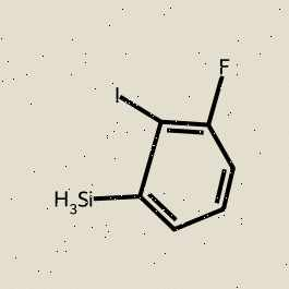 Fc1cccc([SiH3])c1I